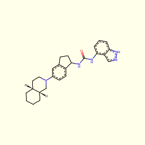 O=C(Nc1cccc2[nH]ncc12)NC1CCc2cc(N3CC[C@H]4CCCC[C@H]4C3)ccc21